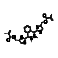 C=C(C)C(=O)OCC1CSC(C(SC)c2ccccc2C(SC)C2SCC(COC(=O)C(=C)C)S2)S1